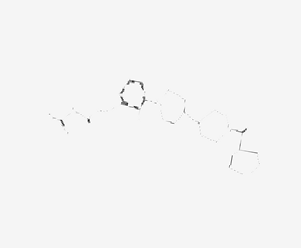 N=C(N)NC(=O)OCc1cccc(N2CCC(C3CCN(C(=O)C4CCOCC4)CC3)CC2)c1F